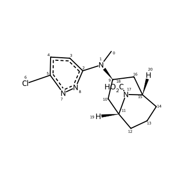 CN(c1ccc(Cl)nn1)[C@@H]1C[C@H]2CCC[C@@H](C1)N2C(=O)O